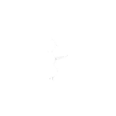 CCOC(=O)COCl